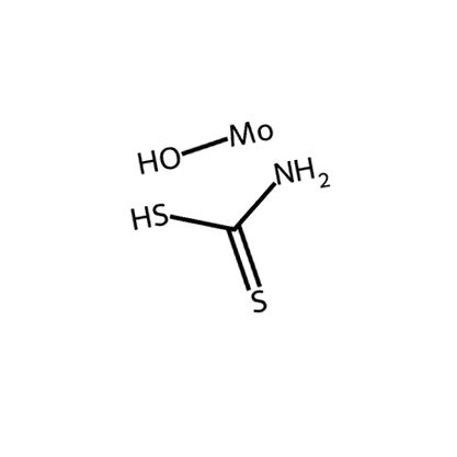 NC(=S)S.[OH][Mo]